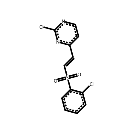 O=S(=O)(/C=C/c1ccnc(Cl)n1)c1ccccc1Cl